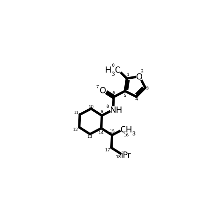 Cc1occc1C(=O)NC1CCCCC1C(C)CC(C)C